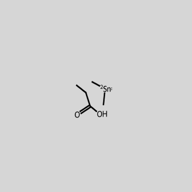 CCC(=O)O.[CH3][2Sn][CH3]